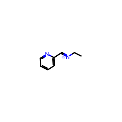 CC/N=C/c1ccccn1